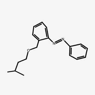 CC(C)CCOCc1ccccc1N=Nc1ccccc1